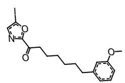 COc1cccc(CCCCCCC(=O)c2ncc(I)o2)c1